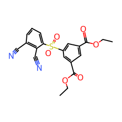 CCOC(=O)c1cc(C(=O)OCC)cc(S(=O)(=O)c2cccc(C#N)c2C#N)c1